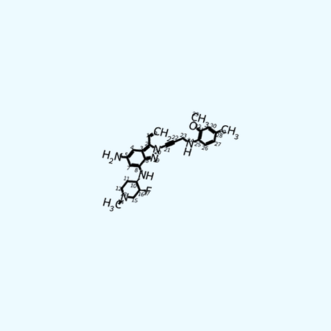 C=Cc1c2cc(N)cc(N[C@@H]3CCN(C)C[C@@H]3F)c2nn1C#CCNc1ccc(C)cc1OC